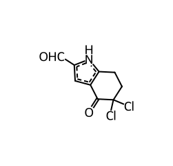 O=Cc1cc2c([nH]1)CCC(Cl)(Cl)C2=O